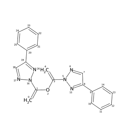 C=C(OC(=C)n1ncc(-c2ccccc2)n1)n1ncc(-c2ccccc2)n1